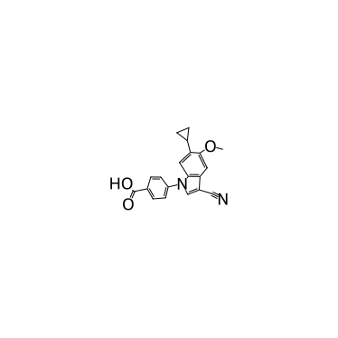 COc1cc2c(C#N)cn(-c3ccc(C(=O)O)cc3)c2cc1C1CC1